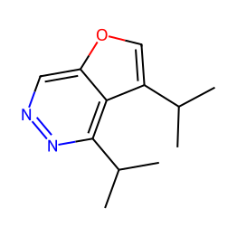 CC(C)c1coc2cnnc(C(C)C)c12